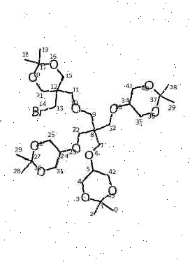 CC1(C)OCC(OCC(COCC2(CBr)COC(C)(C)OC2)(COC2COC(C)(C)OC2)COC2COC(C)(C)OC2)CO1